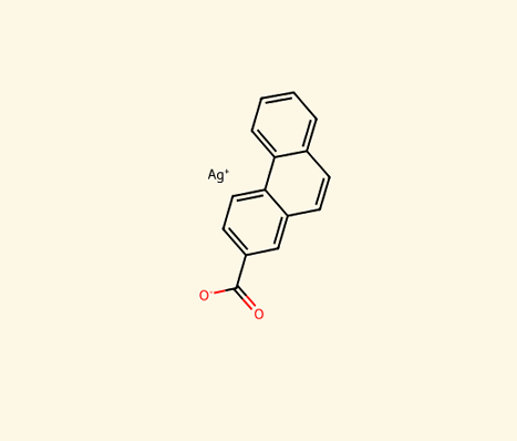 O=C([O-])c1ccc2c(ccc3ccccc32)c1.[Ag+]